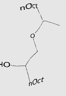 CCCCCCCCC(O)COC(C)CCCCCCCC